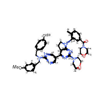 COc1ccc(CN(Cc2ccc(OC)cc2)c2ncc(-c3nc(N4CCOCC4)nc4c3CCN4c3cc(C(=O)N4CCOCC4)ccc3C)cn2)cc1